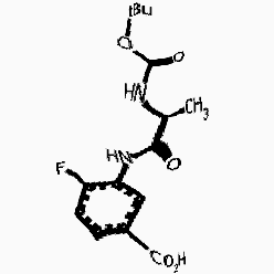 C[C@H](NC(=O)OC(C)(C)C)C(=O)Nc1cc(C(=O)O)ccc1F